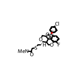 CNC(=O)CSCC[C@@H]1OCC[C@@]2(S(=O)(=O)c3ccc(Cl)cc3)c3c(F)ccc(F)c3OC[C@@H]12